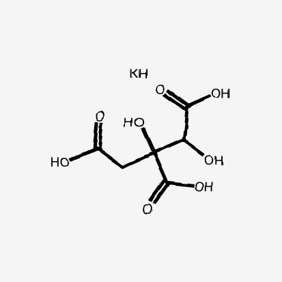 O=C(O)CC(O)(C(=O)O)C(O)C(=O)O.[KH]